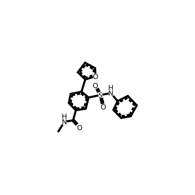 CNC(=O)c1ccc(-c2ccco2)c(S(=O)(=O)Nc2ccccc2)c1